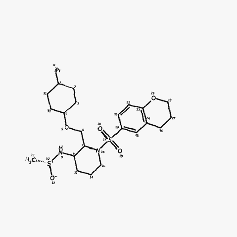 CC(C)C1CCC(OCC2C(N[S@@+](C)[O-])CCCN2S(=O)(=O)c2ccc3c(c2)CCCO3)CC1